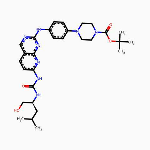 CC(C)C[C@@H](CO)NC(=O)Nc1ccc2cnc(Nc3ccc(N4CCN(C(=O)OC(C)(C)C)CC4)cc3)nc2n1